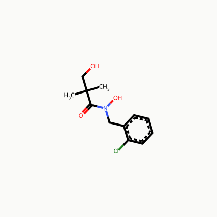 CC(C)(CO)C(=O)N(O)Cc1ccccc1Cl